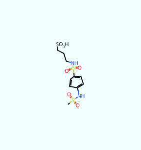 CS(=O)(=O)Nc1ccc(S(=O)(=O)NCCCS(=O)(=O)O)cc1